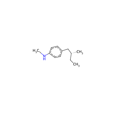 CC[C@@H](C)Cc1ccc(NC)cc1